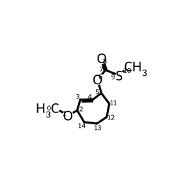 COC1/C=C/C(OC(=O)SC)CCCC1